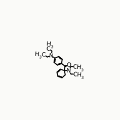 CCN(CC)c1ccc(C(=O)C2(N(CC)CC)C=CC=CC2)cc1